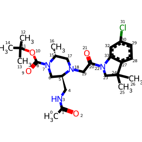 CC(=O)NC[C@H]1CN(C(=O)OC(C)(C)C)[C@H](C)CN1CC(=O)N1CC(C)(C)c2ccc(Cl)cc21